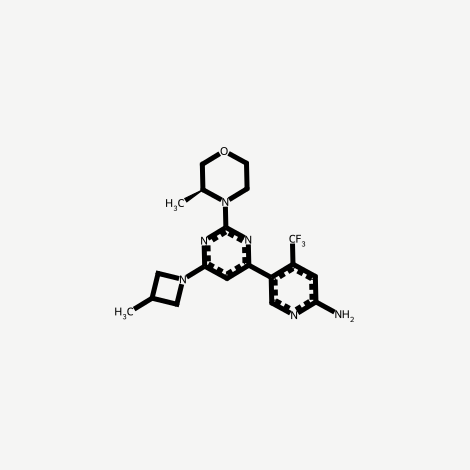 CC1CN(c2cc(-c3cnc(N)cc3C(F)(F)F)nc(N3CCOC[C@@H]3C)n2)C1